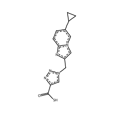 O=C(S)c1cn(Cc2cn3cc(C4CC4)ccc3n2)nn1